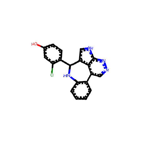 Oc1ccc(C2Nc3ccccc3-c3cnnc4[nH]cc2c34)c(Cl)c1